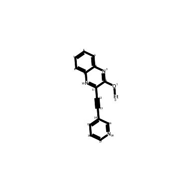 CCOc1nc2ccccc2nc1C#Cc1cccnc1